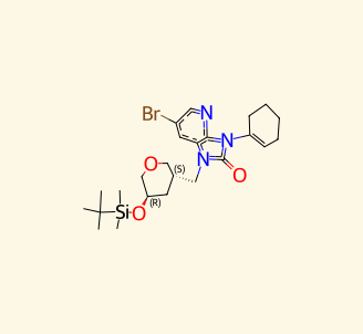 CC(C)(C)[Si](C)(C)O[C@H]1COC[C@H](Cn2c(=O)n(C3=CCCCC3)c3ncc(Br)cc32)C1